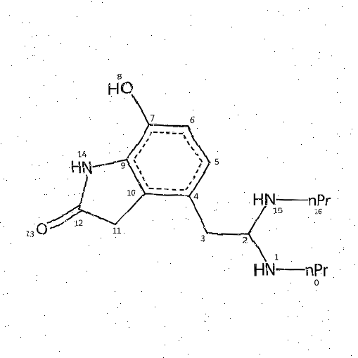 CCCNC(Cc1ccc(O)c2c1CC(=O)N2)NCCC